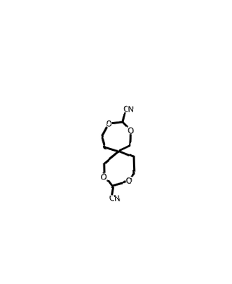 N#CC1OCCC2(CCOC(C#N)OC2)CO1